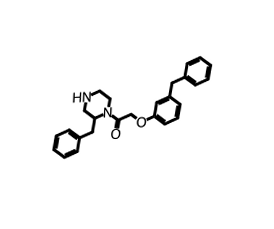 O=C(COc1cccc(Cc2ccccc2)c1)N1CCNCC1Cc1ccccc1